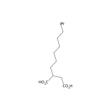 CC(C)CCCCCCC(CC(=O)O)C(=O)O